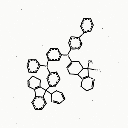 CC1(C)C2=C(CCC=C2)C2CC=C(N(c3ccc(-c4ccccc4)cc3)c3cccc(N(c4ccccc4)c4cccc(C5(C6C=CC=CC6)C6=C(C=CCC6)c6ccccc65)c4)c3)CC21